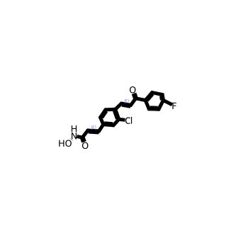 O=C(/C=C/c1ccc(/C=C/C(=O)c2ccc(F)cc2)c(Cl)c1)NO